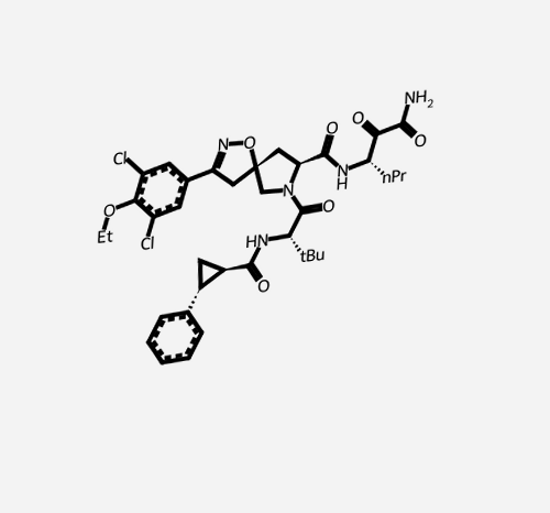 CCC[C@H](NC(=O)[C@@H]1C[C@]2(CC(c3cc(Cl)c(OCC)c(Cl)c3)=NO2)CN1C(=O)[C@@H](NC(=O)[C@@H]1C[C@H]1c1ccccc1)C(C)(C)C)C(=O)C(N)=O